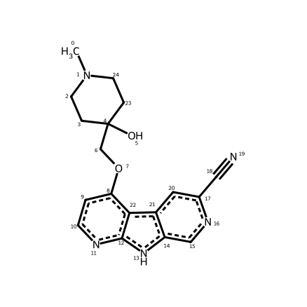 CN1CCC(O)(COc2ccnc3[nH]c4cnc(C#N)cc4c23)CC1